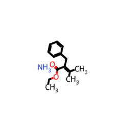 CCOC(=O)C(Cc1ccccc1)=C(C)C.N